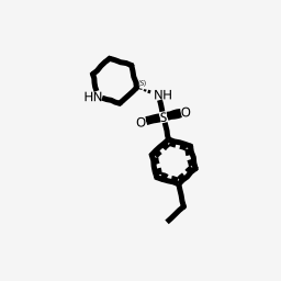 CCc1ccc(S(=O)(=O)N[C@H]2CCCNC2)cc1